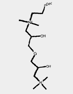 CCCCCCCCCCCC[N+](C)(C)CC(O)COCC(O)C[N+](C)(C)C